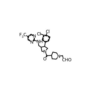 O=CCN1CCC(C(=O)N2CC(CNc3ncc(C(F)(F)F)cn3)C(c3ccc(Cl)c(Cl)c3)C2)CC1